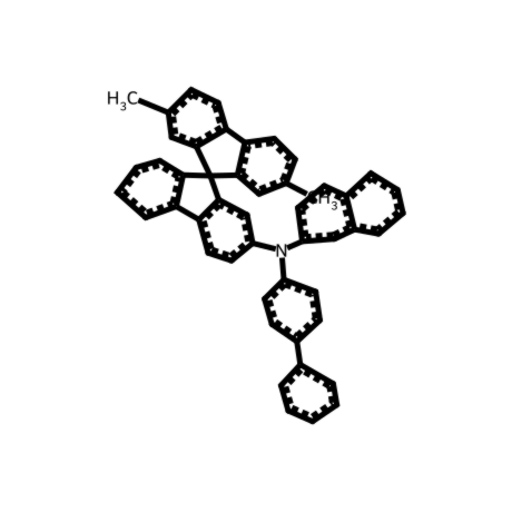 Cc1ccc2c(c1)C1(c3ccccc3-c3ccc(N(c4ccc(-c5ccccc5)cc4)c4ccc5ccccc5c4)cc31)c1cc(C)ccc1-2